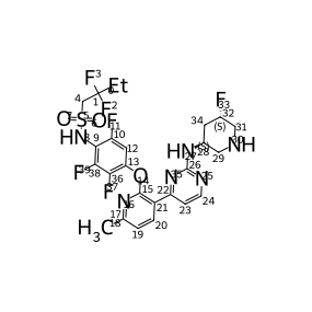 CCC(F)(F)CS(=O)(=O)Nc1c(F)cc(Oc2nc(C)ccc2-c2ccnc(N[C@@H]3CNC[C@@H](F)C3)n2)c(F)c1F